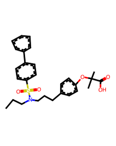 CCCN(CCCc1ccc(OC(C)(C)C(=O)O)cc1)S(=O)(=O)c1ccc(-c2ccccc2)cc1